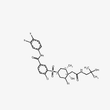 CCC1C[C@@H](S(=O)(=O)c2cc(C(=O)Nc3ccc(F)c(F)c3)ccc2Cl)C[C@H](C)[C@@]1(O)CC(=O)NCC(C)(C)O